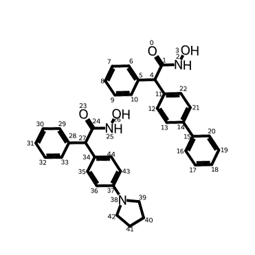 O=C(NO)C(c1ccccc1)c1ccc(-c2ccccc2)cc1.O=C(NO)C(c1ccccc1)c1ccc(N2CCCC2)cc1